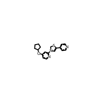 C1=C(c2ccncc2)SCN1c1cc(OC2CCCC2)ccn1